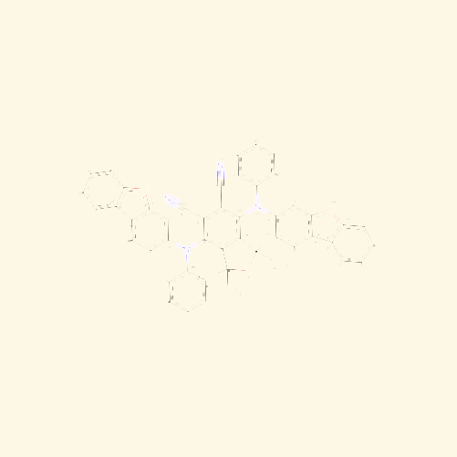 CC1(C)OC(C)(C)c2c(N(c3ccccc3)c3ccc4c(c3)oc3ccccc34)c(C#N)c(C#N)c(N(c3ccccc3)c3ccc4c(c3)oc3ccccc34)c21